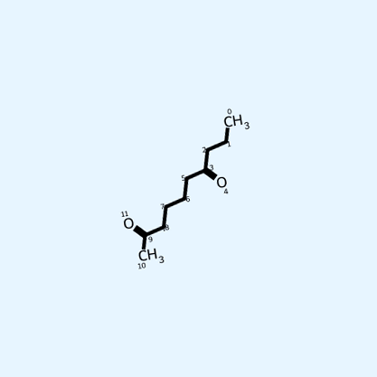 CCCC(=O)CCC[CH]C(C)=O